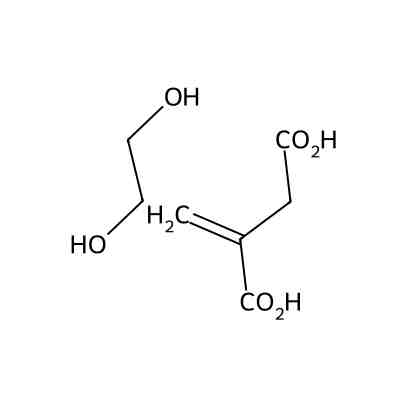 C=C(CC(=O)O)C(=O)O.OCCO